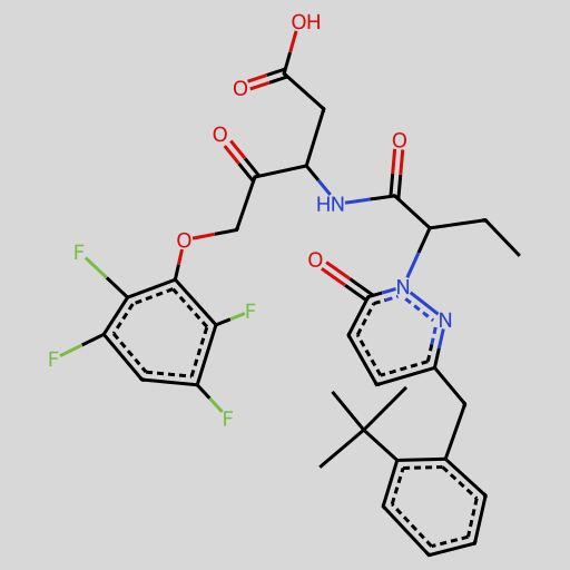 CCC(C(=O)NC(CC(=O)O)C(=O)COc1c(F)c(F)cc(F)c1F)n1nc(Cc2ccccc2C(C)(C)C)ccc1=O